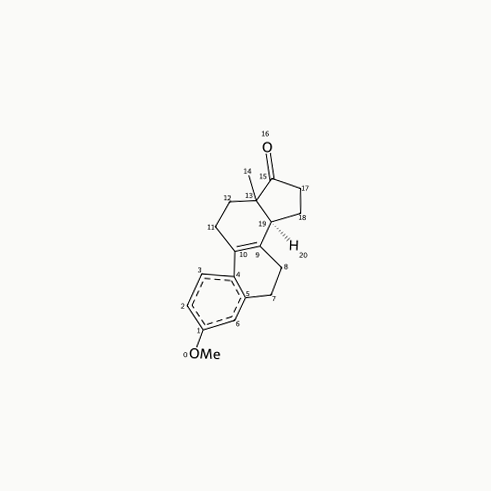 COc1ccc2c(c1)CCC1=C2CCC2(C)C(=O)CC[C@@H]12